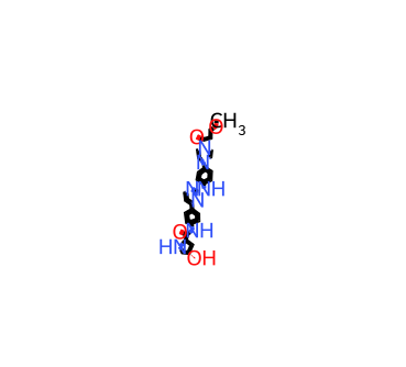 COCCC(=O)N1CCN(c2ccc(Nc3nccc(-c4ccc(NC(=O)C5C[C@H](O)CN5)cc4)n3)cc2)CC1